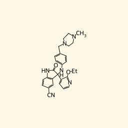 CCOc1ncccc1C1(Nc2ccc(CN3CCN(C)CC3)cc2)C(=O)Nc2ccc(C#N)cc21